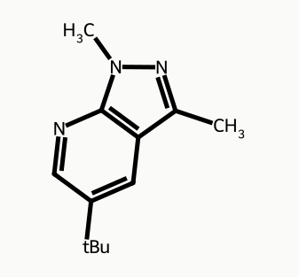 Cc1nn(C)c2ncc(C(C)(C)C)cc12